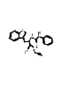 N#CCNC(=O)C(Cc1csc2ccccc12)NC(=S)Nc1ccccc1